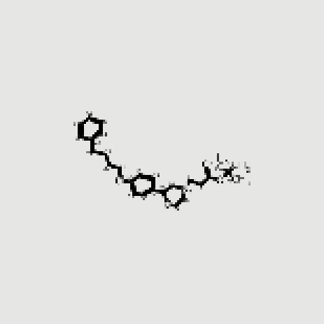 CC(C)(C)OC(=O)CCN1CCOC(c2ccc(OCCCCc3ccccc3)cc2)C1